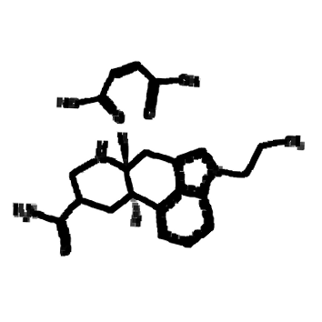 CCCn1cc2c3c(cccc31)[C@H]1CC(C(N)=O)CN[C@@H]1C2.O=C(O)/C=C\C(=O)O